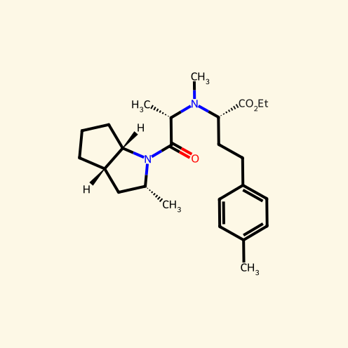 CCOC(=O)[C@H](CCc1ccc(C)cc1)N(C)[C@@H](C)C(=O)N1[C@H](C)C[C@@H]2CCC[C@@H]21